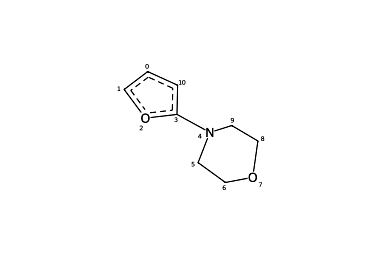 c1coc(N2CCOCC2)c1